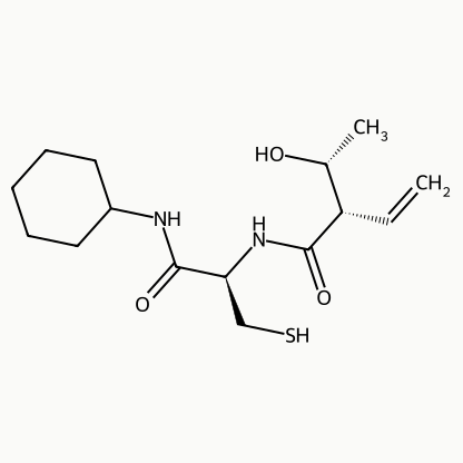 C=C[C@H](C(=O)N[C@@H](CS)C(=O)NC1CCCCC1)[C@@H](C)O